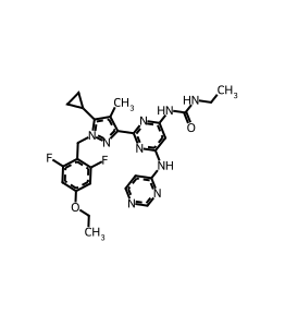 CCNC(=O)Nc1cc(Nc2ccncn2)nc(-c2nn(Cc3c(F)cc(OCC)cc3F)c(C3CC3)c2C)n1